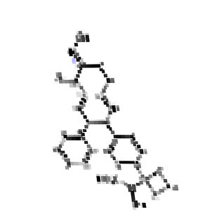 CC(C)(C)N(C(=O)O)C1(c2ccc(-c3nc4c(cc3-c3ccccc3)C(=O)/C(=N/O)CC4)cc2)CCC1